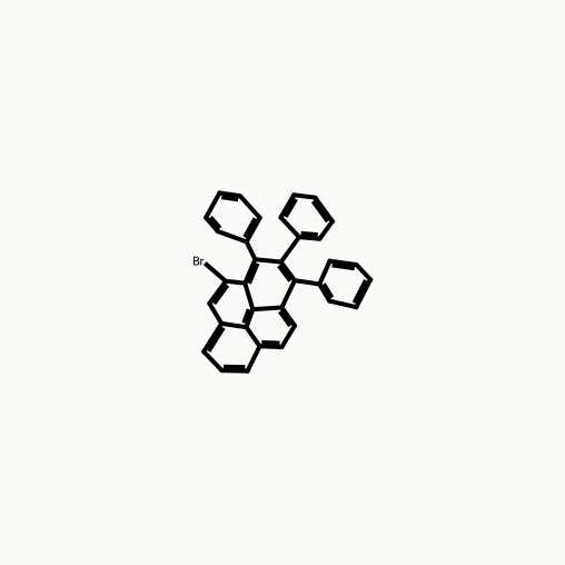 Brc1cc2cccc3ccc4c(-c5ccccc5)c(-c5ccccc5)c(-c5ccccc5)c1c4c32